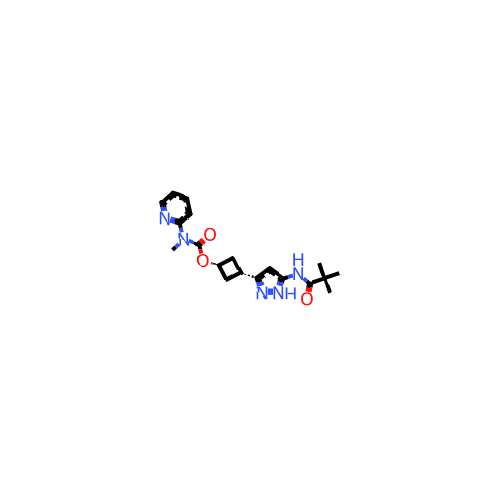 CN(C(=O)O[C@H]1C[C@@H](c2cc(NC(=O)C(C)(C)C)[nH]n2)C1)c1ccccn1